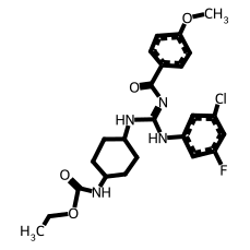 CCOC(=O)NC1CCC(N/C(=N\C(=O)c2ccc(OC)cc2)Nc2cc(F)cc(Cl)c2)CC1